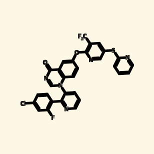 O=c1ncn(-c2cccnc2-c2ccc(Cl)cc2F)c2ccc(Oc3ncc(Sc4ccccn4)cc3C(F)(F)F)cc12